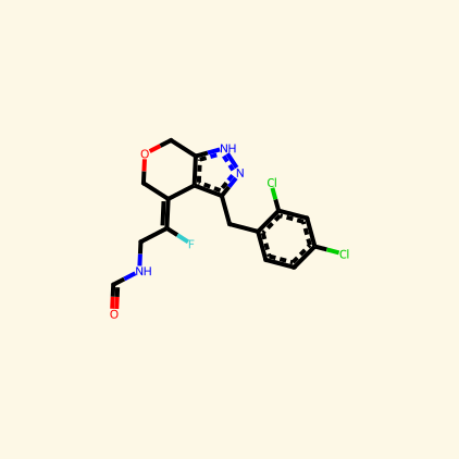 O=CNC/C(F)=C1\COCc2[nH]nc(Cc3ccc(Cl)cc3Cl)c21